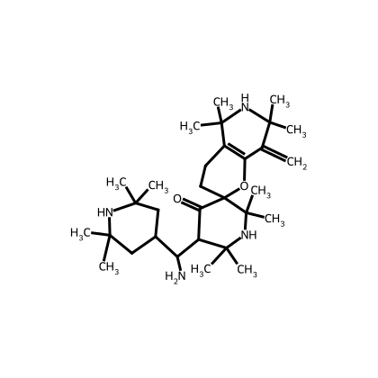 C=C1C2=C(CCC3(O2)C(=O)C(C(N)C2CC(C)(C)NC(C)(C)C2)C(C)(C)NC3(C)C)C(C)(C)NC1(C)C